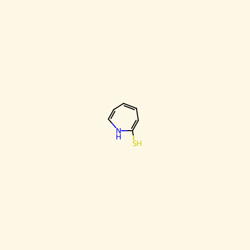 SC1=CC=CC=CN1